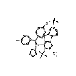 Cc1ccc(/[C](c2ccc(Cl)cc2)=[Zr+2](\[C]2=CC=CC2)[c]2c(C(C)(C)C)ccc3c2Cc2cc(C(C)(C)C)ccc2-3)cc1.[Cl-].[Cl-]